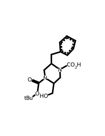 CC(C)(C)OC(=O)N1CC(Cc2ccccc2)N(C(=O)O)CC1CO